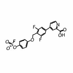 O=C(O)c1cc(-c2cc(F)c(COc3ccc(OS(=O)(=O)F)cc3)c(F)c2)ccn1